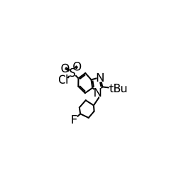 CC(C)(C)c1nc2cc(S(=O)(=O)Cl)ccc2n1CC1CCC(F)CC1